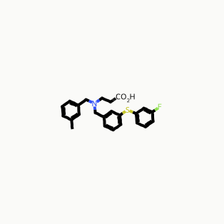 Cc1cccc(CN(CCC(=O)O)Cc2cccc(Sc3cccc(F)c3)c2)c1